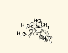 CCCCc1c(C(C)(C)C)cc(C)c(CC2=NCCN2)c1C.Cl